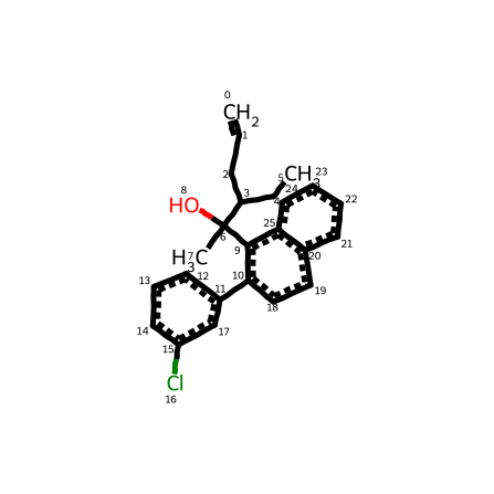 C=CCC(CC)C(C)(O)c1c(-c2cccc(Cl)c2)ccc2ccccc12